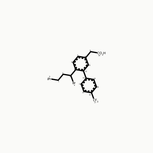 CC(C)CCC(Br)c1ccc(CC(=O)O)cc1-c1ccc(C(F)(F)F)cc1